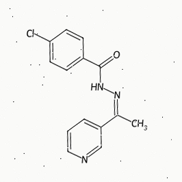 CC(=NNC(=O)c1ccc(Cl)cc1)c1cccnc1